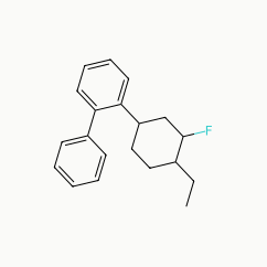 CCC1CCC(c2ccccc2-c2ccccc2)CC1F